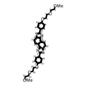 COCCOCCOc1ccc(-c2nc3c(ccc4c3ccc3sc(-c5ccc(OCCOCCOC)cc5)nc34)s2)cc1